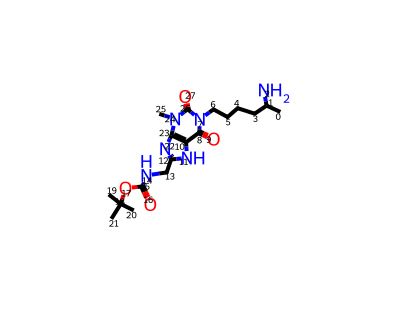 CC(N)CCCCn1c(=O)c2[nH]c(CNC(=O)OC(C)(C)C)nc2n(C)c1=O